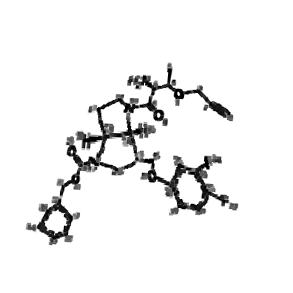 C#CCO[C@H](C)[C@H](N)C(=O)N1CC[C@@H]2[C@H]1[C@@H](COc1ccc(F)c(F)c1)CN2C(=O)OCc1ccccc1